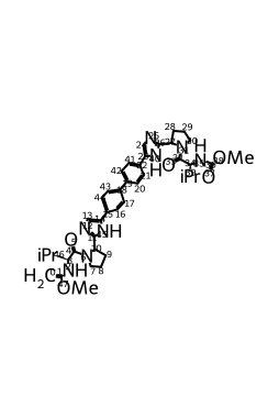 C=C(N[C@H](C(=O)N1CCCC1c1ncc(-c2ccc(-c3ccc(-c4cnc(C5CCCN5C(=O)[C@@H](NC(=O)OC)C(C)C)[nH]4)cc3)cc2)[nH]1)C(C)C)OC